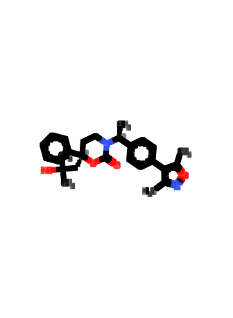 Cc1noc(C)c1-c1ccc([C@H](C)N2CC[C@](CC(C)(C)O)(c3ccccc3)OC2=O)cc1